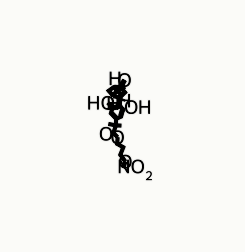 CC(C)(C(=O)OCCCO[N+](=O)[O-])c1cc(O)c([C@H]2CC(=O)[C@H]3C[C@H]2C3(C)C)c(O)c1